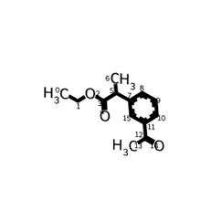 CCOC(=O)C(C)c1cccc(C(C)=O)c1